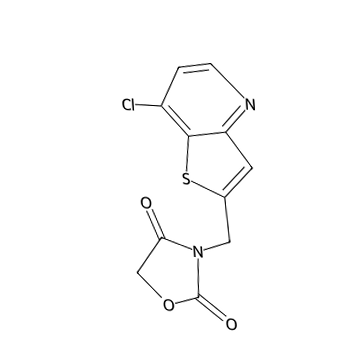 O=C1COC(=O)N1Cc1cc2nccc(Cl)c2s1